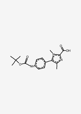 Cc1nc(C(=O)O)n(C)c1-c1ccc(NC(=O)OC(C)(C)C)cc1